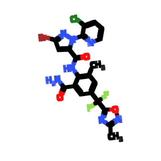 Cc1noc(C(F)(F)c2cc(C)c(NC(=O)c3cc(Br)nn3-c3ncccc3Cl)c(C(N)=O)c2)n1